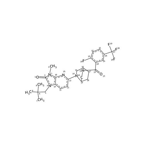 Cn1c(=O)n(CC(C)(C)C)c2ccc(N3CC4CCC3CN4C(=O)c3cc(C(F)(F)F)ccc3F)nc21